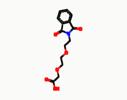 O=C(O)COCCOCCN1C(=O)c2ccccc2C1=O